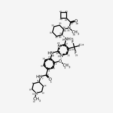 COc1cc(C(=O)NC2CCN(C)CC2)ccc1Nc1ncc(C(F)(F)F)c(N[C@@H]2CCCC[C@H]2N(C)C(=O)C2CCC2)n1